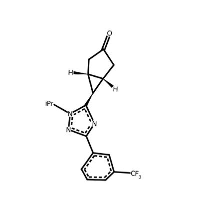 CC(C)n1nc(-c2cccc(C(F)(F)F)c2)nc1[C@H]1[C@@H]2CC(=O)C[C@@H]21